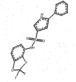 O=S(=O)(Nc1cccc2c1OC(F)(F)O2)c1c[nH]c(-c2ccccc2)c1